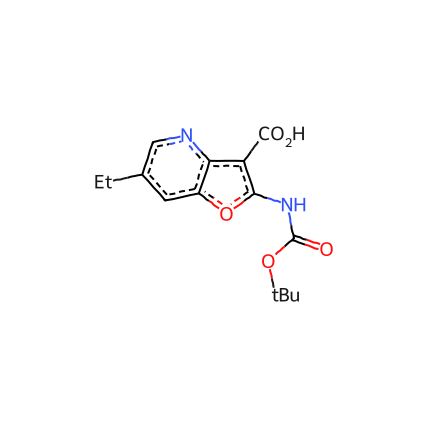 CCc1cnc2c(C(=O)O)c(NC(=O)OC(C)(C)C)oc2c1